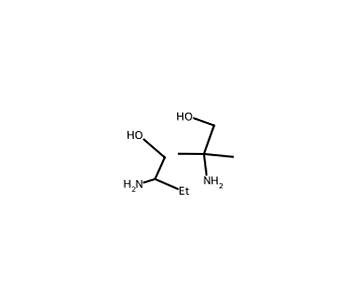 CC(C)(N)CO.CCC(N)CO